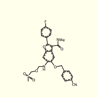 CNC(=O)c1c(-c2ccc(F)cc2)oc2cc(NCOCS(C)(=O)=O)c(OCc3ccc(C#N)cc3)cc12